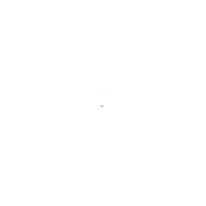 CCOC(=O)C(F)=C1CCOCC1